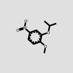 COc1ccc([N+](=O)[O-])cc1OC(C)C